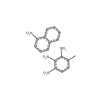 Cc1ccc([N+](=O)[O-])c([N+](=O)[O-])c1[N+](=O)[O-].O=[N+]([O-])c1cccc2ccccc12